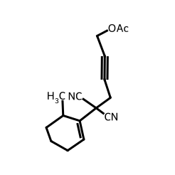 CC(=O)OCC#CCC(C#N)(C#N)C1=CCCCC1C